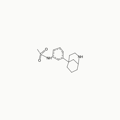 CS(=O)(=O)Nc1cccc(C23CCCC(C2)NCC3)c1